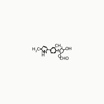 C=C1C=CC(c2ccc(N3CC(O)C[C@H]3OC=O)c(C)c2)=NN1